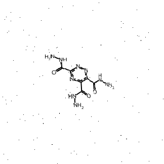 NNC(=O)c1nnc(C(=O)NN)c(C(=O)NN)n1